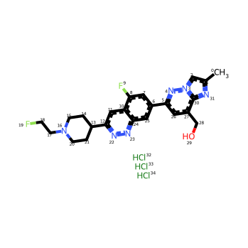 Cc1cn2nc(-c3cc(F)c4cc(C5CCN(CCF)CC5)nnc4c3)cc(CO)c2n1.Cl.Cl.Cl